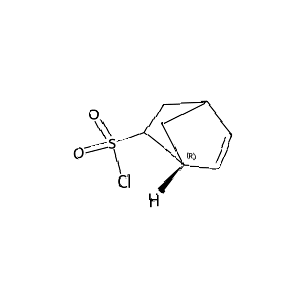 O=S(=O)(Cl)C1CC2C=C[C@H]1C2